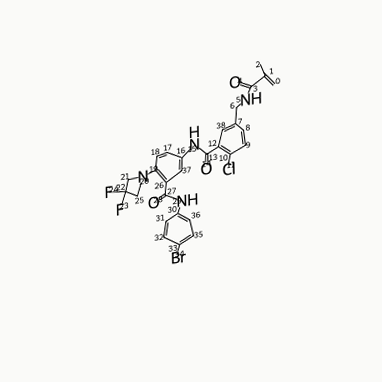 C=C(C)C(=O)NCc1ccc(Cl)c(C(=O)Nc2ccc(N3CC(F)(F)C3)c(C(=O)Nc3ccc(Br)cc3)c2)c1